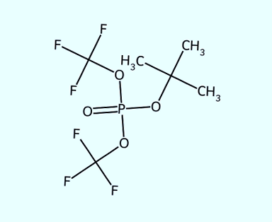 CC(C)(C)OP(=O)(OC(F)(F)F)OC(F)(F)F